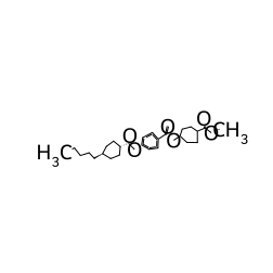 CCCCC[C@H]1CC[C@H](C(=O)Oc2ccc(C(=O)OC3CCC(C(=O)OC)CC3)cc2)CC1